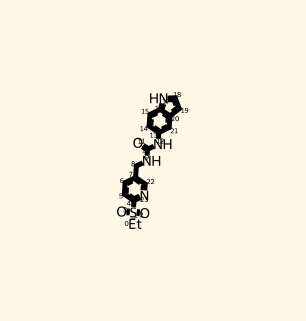 CCS(=O)(=O)c1ccc(CNC(=O)Nc2ccc3[nH]ccc3c2)cn1